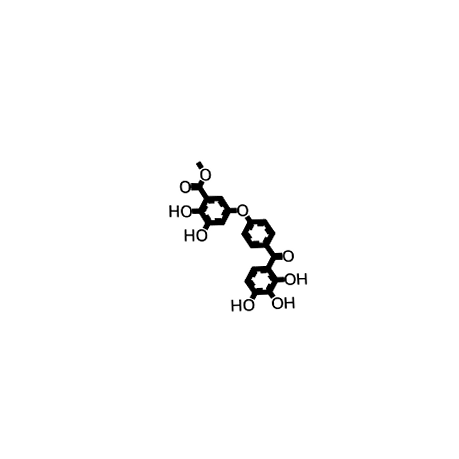 COC(=O)c1cc(Oc2ccc(C(=O)c3ccc(O)c(O)c3O)cc2)cc(O)c1O